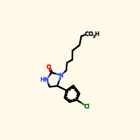 O=C(O)CCCCCCN1C(=O)NCC1c1ccc(Cl)cc1